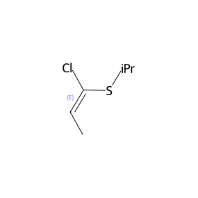 C/C=C(/Cl)SC(C)C